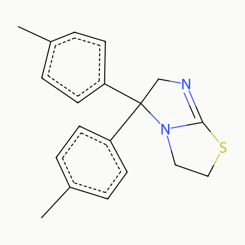 Cc1ccc(C2(c3ccc(C)cc3)CN=C3SCCN32)cc1